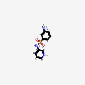 Nc1cccc(S(=O)(=O)Nc2cccnc2)c1